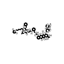 CO[C@H]1OCCN2[C@@H]1O[C@@H]1[C@H](C)OC(O[C@H]3C[C@](O)(C(C)=O)Cc4c(O)c5c(c(O)c43)C(=O)c3c(NC(=O)OCc4ccccc4NC(=O)CNC(=O)[C@H](CC(C)C)NC(=O)[C@H](Cc4ccccc4)NC(=O)CCCCCN4C(=O)C=CC4=O)cccc3C5=O)C[C@@H]12